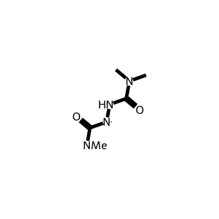 CNC(=O)[N]NC(=O)N(C)C